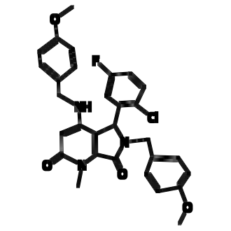 COc1ccc(CNc2cc(=O)n(C)c3c2C(c2cc(F)ccc2Cl)N(Cc2ccc(OC)cc2)C3=O)cc1